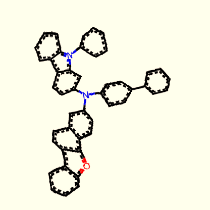 c1ccc(-c2ccc(N(c3ccc4c(ccc5c6ccccc6oc45)c3)c3ccc4c5ccccc5n(-c5ccccc5)c4c3)cc2)cc1